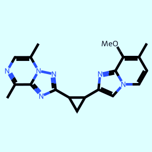 COc1c(C)ccn2cc(C3CC3c3nc4c(C)ncc(C)n4n3)nc12